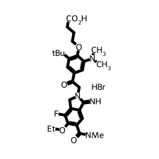 Br.CCOc1c(C(=O)NC)cc2c(c1F)CN(CC(=O)c1cc(N(C)C)c(OCCCC(=O)O)c(C(C)(C)C)c1)C2=N